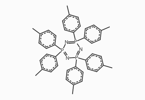 Cc1ccc(P2(c3ccc(C)cc3)=NP(c3ccc(C)cc3)(c3ccc(C)cc3)=NP(c3ccc(C)cc3)(c3ccc(C)cc3)=N2)cc1